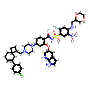 O=C(NS(=O)(=O)c1cc([N+](=O)[O-])c(NCC2COCCO2)cc1F)c1ccc(N2CCN(CC3CCC34CCC=C(c3ccc(Cl)cc3)C4)CC2)cc1Oc1cnc2[nH]ccc2c1